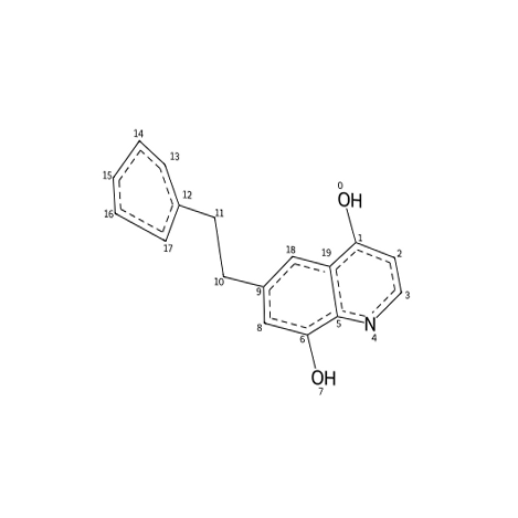 Oc1ccnc2c(O)cc(CCc3ccccc3)cc12